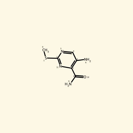 CSc1ncc(N)c(C(N)=O)n1